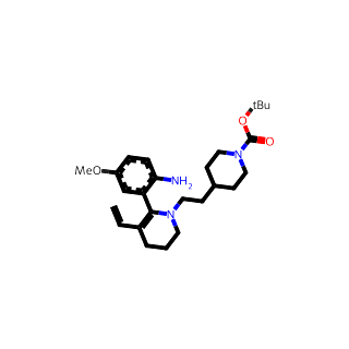 C=CC1=C(c2cc(OC)ccc2N)N(CCC2CCN(C(=O)OC(C)(C)C)CC2)CCC1